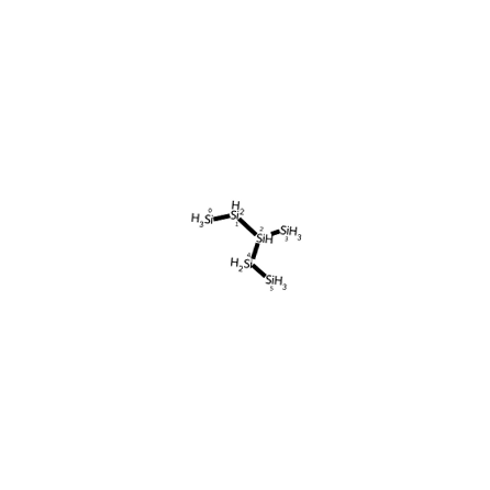 [SiH3][SiH2][SiH]([SiH3])[SiH2][SiH3]